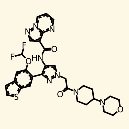 O=C(Nc1cn(CC(=O)N2CCC(N3CCOCC3)CC2)nc1-c1cc2sccc2cc1OC(F)F)c1cnn2cccnc12